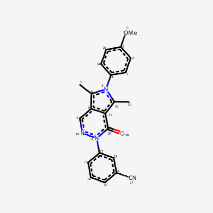 COc1ccc(-n2c(C)c3cnn(-c4cccc(C#N)c4)c(=O)c3c2C)cc1